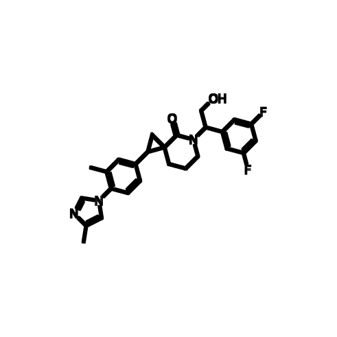 Cc1cn(-c2ccc(C3CC34CCCN(C(CO)c3cc(F)cc(F)c3)C4=O)cc2C)cn1